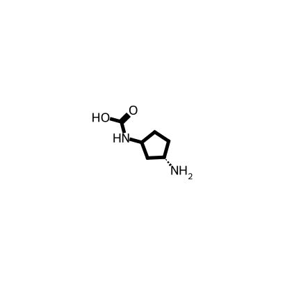 N[C@H]1CCC(NC(=O)O)C1